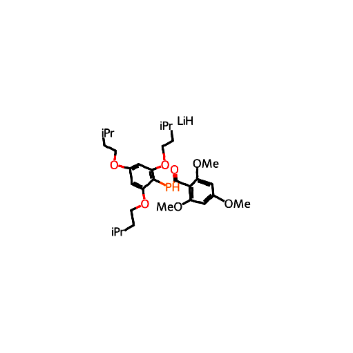 COc1cc(OC)c(C(=O)Pc2c(OCCC(C)C)cc(OCCC(C)C)cc2OCCC(C)C)c(OC)c1.[LiH]